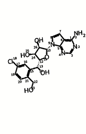 Nc1ncnc2c1ccn2[C@@H]1O[C@H](C(O)c2cc(Cl)ccc2CO)[C@@H](O)[C@H]1O